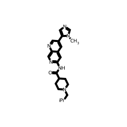 CC(C)CN1CCC(C(=O)Nc2cc3cc(-c4cncn4C)cnc3cn2)CC1